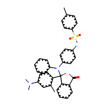 CCN(CC)c1ccc(C2(N(c3ccccc3)c3ccc(NS(=O)(=O)c4ccc(C)cc4)cc3)OC(=O)c3ccccc32)c(C)c1